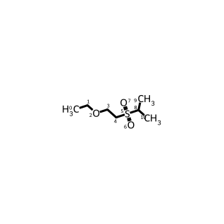 CCOCCS(=O)(=O)C(C)C